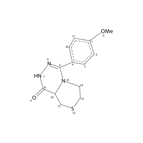 COc1ccc(C2=NNC(=O)C3CSCCN23)cc1